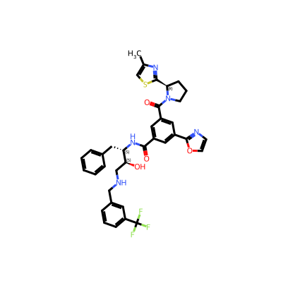 Cc1csc([C@H]2CCCN2C(=O)c2cc(C(=O)N[C@@H](Cc3ccccc3)[C@@H](O)CNCc3cccc(C(F)(F)F)c3)cc(-c3ncco3)c2)n1